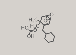 CC1(C)CC23OC2(C=C1CC1CCCCC1)O3.O=C(O)O